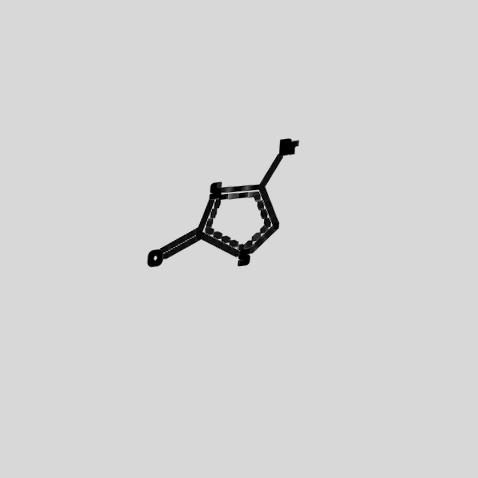 O=c1scc(Br)s1